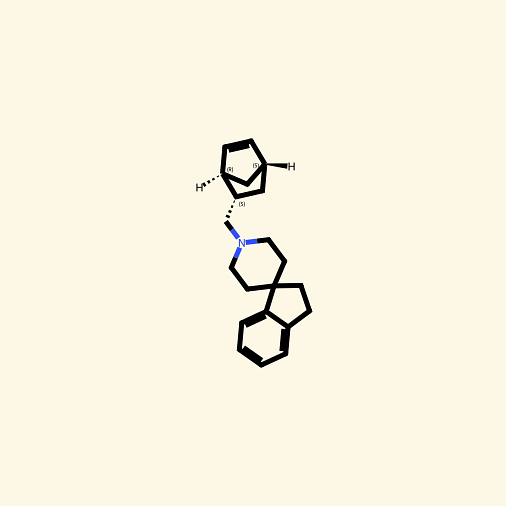 C1=C[C@H]2C[C@H]1C[C@@H]2CN1CCC2(CCc3ccccc32)CC1